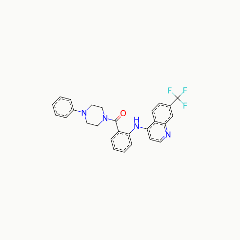 O=C(c1ccccc1Nc1ccnc2cc(C(F)(F)F)ccc12)N1CCN(c2ccccc2)CC1